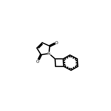 O=C1C=CC(=O)N1C1Cc2ccccc21